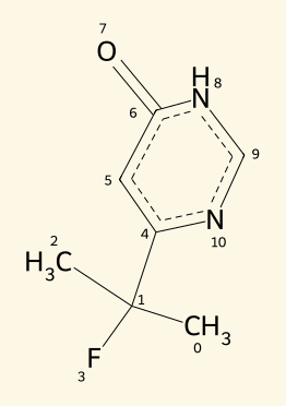 CC(C)(F)c1cc(=O)[nH]cn1